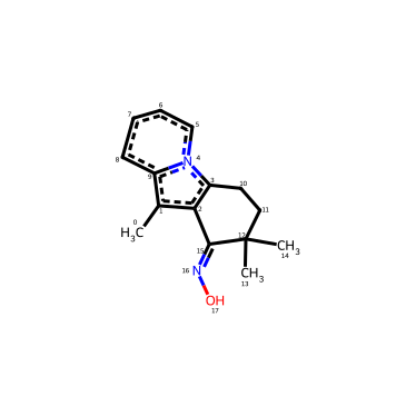 Cc1c2c(n3ccccc13)CCC(C)(C)C2=NO